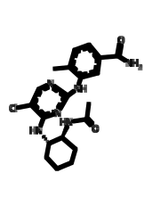 CC(=O)N[C@H]1CCCC[C@@H]1Nc1nc(Nc2cc(C(N)=O)ccc2C)ncc1Cl